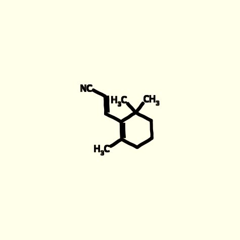 CC1=C(C=CC#N)C(C)(C)CCC1